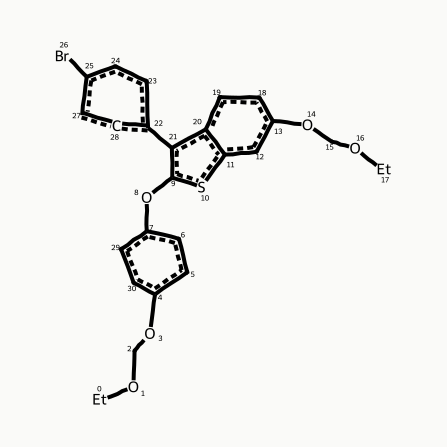 CCOCOc1ccc(Oc2sc3cc(OCOCC)ccc3c2-c2ccc(Br)cc2)cc1